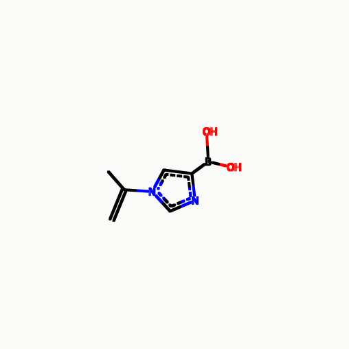 C=C(C)n1cnc(B(O)O)c1